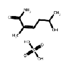 CC(=CCC(C)O)C(N)=O.O=S(=O)(O)O